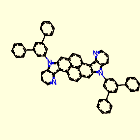 c1ccc(-c2cc(-c3ccccc3)cc(-n3c4cccnc4c4c5ccc6cc7c(c8ccc(cc43)c5c68)c3ncccc3n7-c3cc(-c4ccccc4)cc(-c4ccccc4)c3)c2)cc1